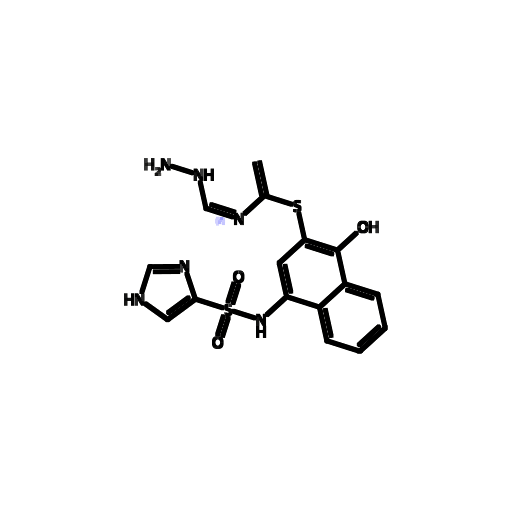 C=C(/N=C\NN)Sc1cc(NS(=O)(=O)c2c[nH]cn2)c2ccccc2c1O